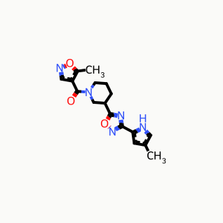 Cc1c[nH]c(-c2noc(C3CCCN(C(=O)c4cnoc4C)C3)n2)c1